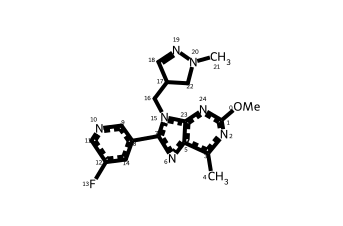 COc1nc(C)c2nc(-c3cncc(F)c3)n(CC3C=NN(C)C3)c2n1